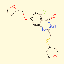 O=c1[nH]c(CSC2CCOCC2)nc2cc(OC[C@@H]3CCCO3)cc(F)c12